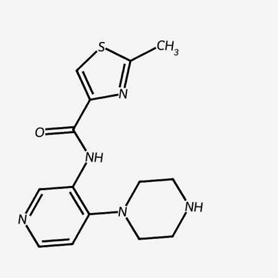 Cc1nc(C(=O)Nc2cnccc2N2CCNCC2)cs1